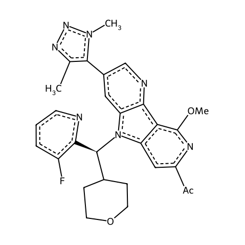 COc1nc(C(C)=O)cc2c1c1ncc(-c3c(C)nnn3C)cc1n2[C@H](c1ncccc1F)C1CCOCC1